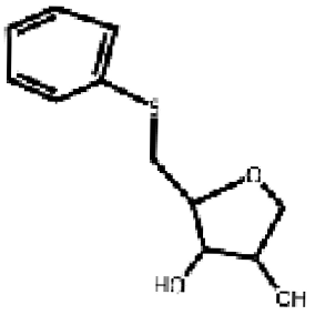 OC1COC(CSc2ccccc2)C1O